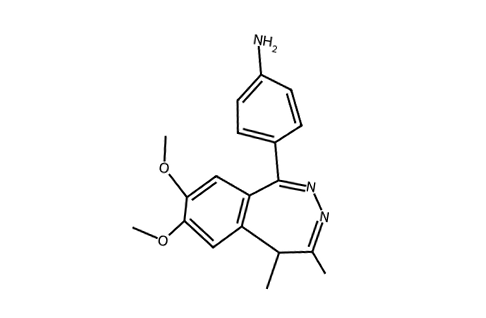 COc1cc2c(cc1OC)C(C)C(C)=NN=C2c1ccc(N)cc1